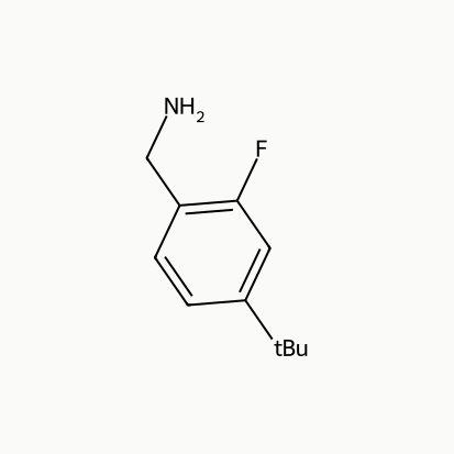 CC(C)(C)c1ccc(CN)c(F)c1